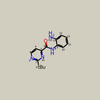 CC(C)(C)c1nccc(C(=O)Nc2ccccc2N)n1